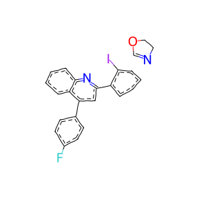 C1=NCCO1.Fc1ccc(-c2cc(-c3ccccc3I)nc3ccccc23)cc1